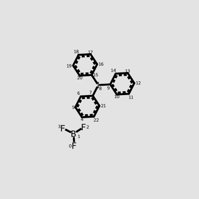 FB(F)F.c1ccc(I(c2ccccc2)c2ccccc2)cc1